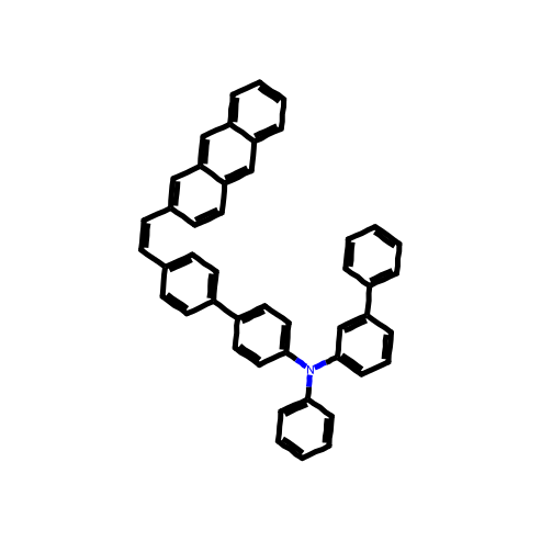 C(=C/c1ccc2cc3ccccc3cc2c1)/c1ccc(-c2ccc(N(c3ccccc3)c3cccc(-c4ccccc4)c3)cc2)cc1